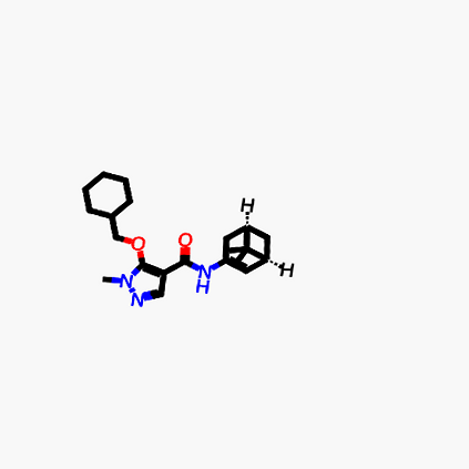 Cn1ncc(C(=O)NC2=C[C@@H]3C[C@H](C2)C3(C)C)c1OCC1CCCCC1